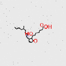 CCCCC(C)CC/C=C/C1C=CC(=O)C1C(O)CCCCCC(=O)O